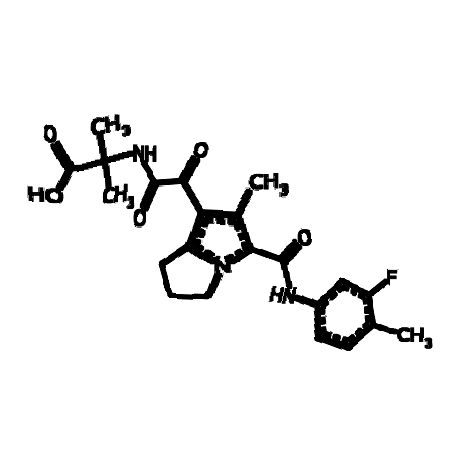 Cc1ccc(NC(=O)c2c(C)c(C(=O)C(=O)NC(C)(C)C(=O)O)c3n2CCC3)cc1F